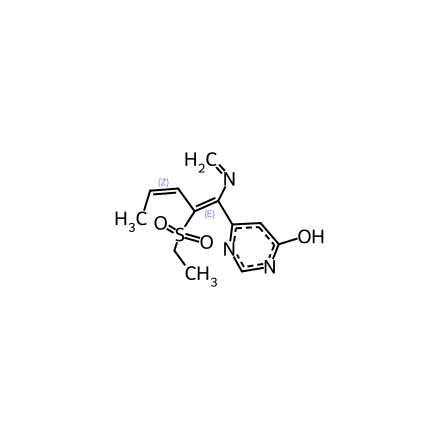 C=N/C(=C(\C=C/C)S(=O)(=O)CC)c1cc(O)ncn1